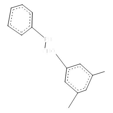 Cc1cc(C)cc(C)c1.O=CPc1ccccc1